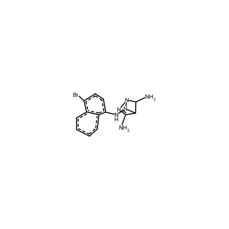 NC1=NN2C(N)C1N2Nc1ccc(Br)c2ccccc12